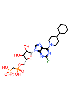 O=P(O)(O)CP(=O)(O)OC[C@H]1O[C@@H](n2cnc3c(N4CCC(C5CCCCC5)CC4)nc(Cl)nc32)C(O)C1O